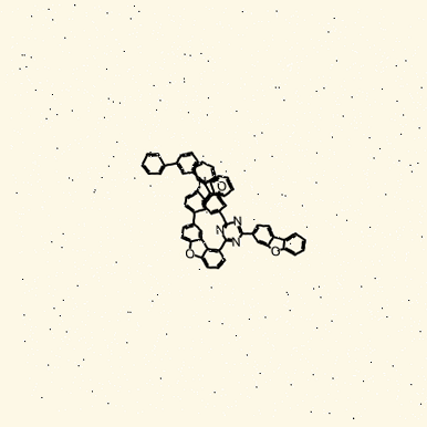 c1ccc(-c2cccc(-n3c4ccccc4c4cc(-c5ccc6oc7cccc(-c8nc(-c9ccc%10c(c9)oc9ccccc9%10)nc(-c9ccc%10c(c9)oc9ccccc9%10)n8)c7c6c5)ccc43)c2)cc1